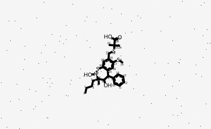 CCCCC1(C)C(O)C(c2ccccc2)c2cc(SC)c(CSC(C)(C)C(=O)O)cc2SN1O